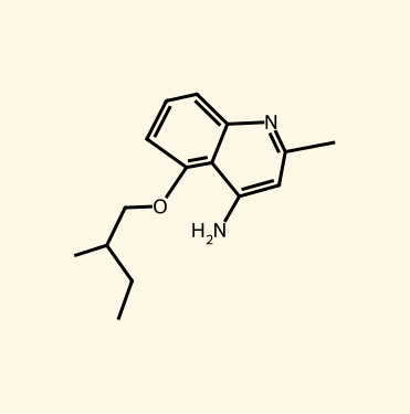 CCC(C)COc1cccc2nc(C)cc(N)c12